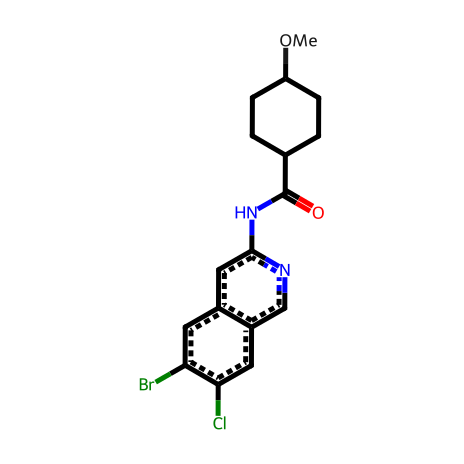 COC1CCC(C(=O)Nc2cc3cc(Br)c(Cl)cc3cn2)CC1